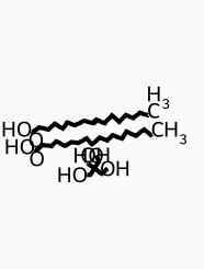 CCCCCCCCC=CCCCCCCCC(=O)O.CCCCCCCCCCCCCCCCCC(=O)O.OCC(CO)(CO)CO